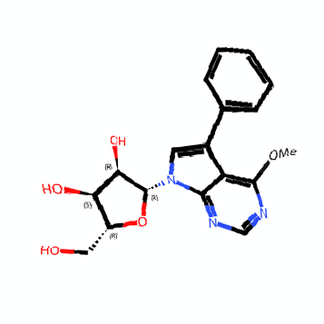 COc1ncnc2c1c(-c1ccccc1)cn2[C@@H]1O[C@H](CO)[C@@H](O)[C@H]1O